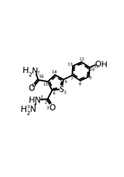 NNC(=O)c1sc(-c2ccc(O)cc2)cc1C(N)=O